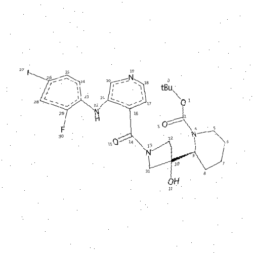 CC(C)(C)OC(=O)N1CCCC[C@H]1C1(O)CN(C(=O)c2ccncc2Nc2ccc(I)cc2F)C1